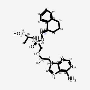 C[C@H](NP(=O)(CO[C@@H](C)Cn1cnc2c(N)ncnc21)O/N=C1\CCCc2ccccc21)C(=O)O